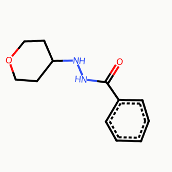 O=C(NNC1CCOCC1)c1ccccc1